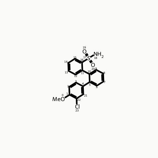 COc1ccc(-c2ccccc2-c2ccccc2S(N)(=O)=O)cc1Cl